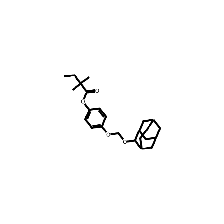 CCC(C)(C)C(=O)Oc1ccc(OCOC2C3CC4CC(C3)CC2C4)cc1